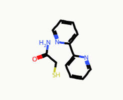 NC(=O)CS.c1ccc(-c2ccccn2)nc1